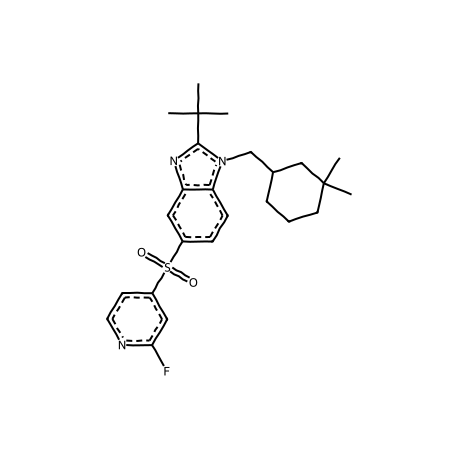 CC1(C)CCCC(Cn2c(C(C)(C)C)nc3cc(S(=O)(=O)c4ccnc(F)c4)ccc32)C1